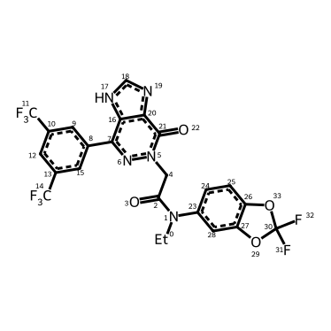 CCN(C(=O)Cn1nc(-c2cc(C(F)(F)F)cc(C(F)(F)F)c2)c2[nH]cnc2c1=O)c1ccc2c(c1)OC(F)(F)O2